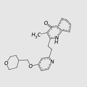 Cc1c(CCc2cc(OCC3CCOCC3)ccn2)[nH]c2ccccc2c1=O